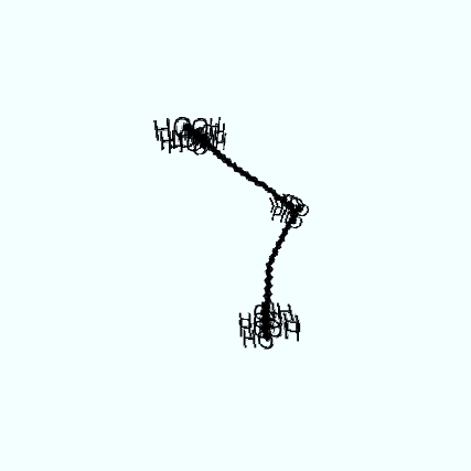 O=C(CCCCCCCCCCCCCCCCCCCCCCCNC(=O)[C@@H](O)[C@H](O)[C@@H](O)[C@H](O)CO)NCC(NC(=O)CCCCCCCCCCCCCCCCCCCCCCCNC(=O)[C@H](O)[C@@H](O)[C@H](O)[C@@H](O)CO)C(=O)O